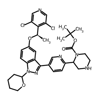 C[C@@H](Oc1ccc2c(c1)c(-c1ccc(C3CNCCN3C(=O)OC(C)(C)C)nc1)nn2C1CCCCO1)c1c(Cl)cncc1Cl